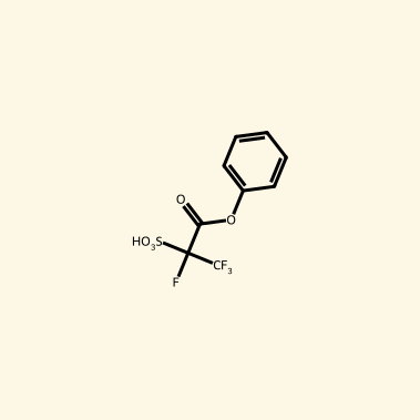 O=C(Oc1ccccc1)C(F)(C(F)(F)F)S(=O)(=O)O